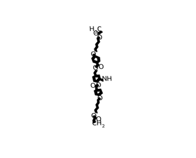 C=CC(=O)OCCCCCCOc1ccc(C(=O)OCCc2ccc(OC(=O)c3ccc(OCCCCCCOC(=O)C=C)cc3)c(C=N)c2)cc1